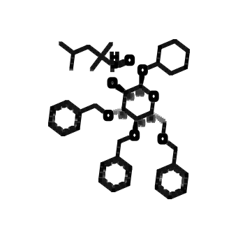 CC(C)CC(C)(C)[PH](=O)O[C@H]1[C@@H](OC2CCCCC2)O[C@H](COCc2ccccc2)[C@@H](OCc2ccccc2)[C@@H]1OCc1ccccc1